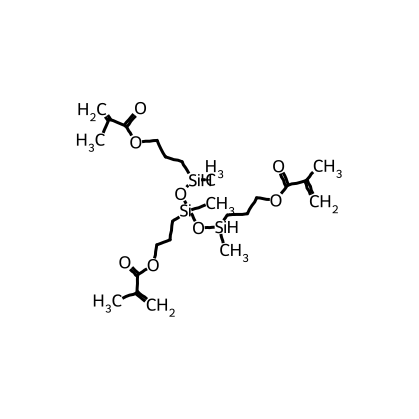 C=C(C)C(=O)OCCC[SiH](C)O[Si](C)(CCCOC(=O)C(=C)C)O[SiH](C)CCCOC(=O)C(=C)C